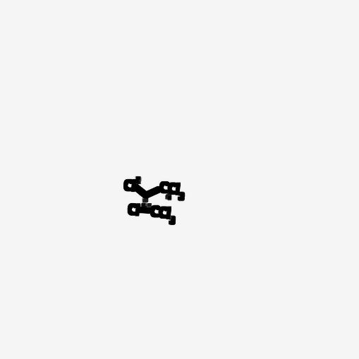 ClC(Cl)(Cl)Cl.ClCC(Cl)(Cl)Cl